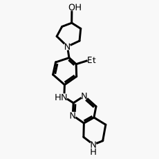 CCc1cc(Nc2ncc3c(n2)CNCC3)ccc1N1CCC(O)CC1